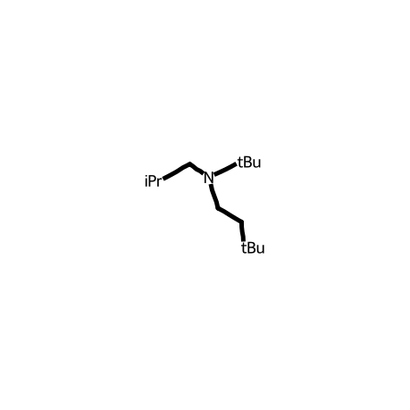 CC(C)CN(CCC(C)(C)C)C(C)(C)C